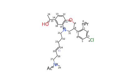 CCCc1cc(Cl)ccc1C1COc2ccc(C(C)O)cc2N(CCC/C=C/CCN(C)C(C)=O)C1